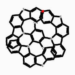 N#Cc1cc(-n2c3ccccc3c3ccc4sc5ccccc5c4c32)c(C#N)c(-n2c3ccccc3c3ccc4sc5ccccc5c4c32)c1-n1c2ccccc2c2ccc3sc4ccccc4c3c21